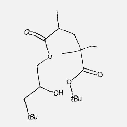 CC(CC(C)(C)C(=O)OC(C)(C)C)C(=O)OCC(O)CC(C)(C)C